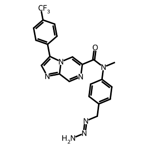 CN(C(=O)c1cn2c(-c3ccc(C(F)(F)F)cc3)cnc2cn1)c1ccc(CN=NN)cc1